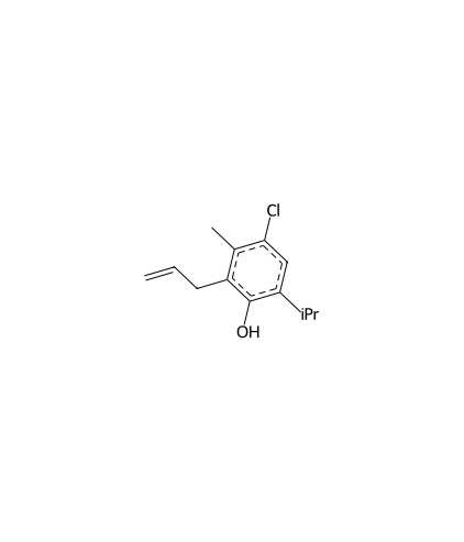 C=CCc1c(C)c(Cl)cc(C(C)C)c1O